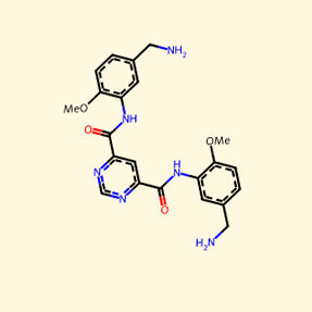 COc1ccc(CN)cc1NC(=O)c1cc(C(=O)Nc2cc(CN)ccc2OC)ncn1